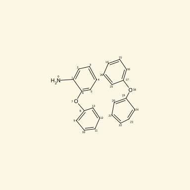 Nc1ccccc1Oc1ccccc1.c1ccc(Oc2ccccc2)cc1